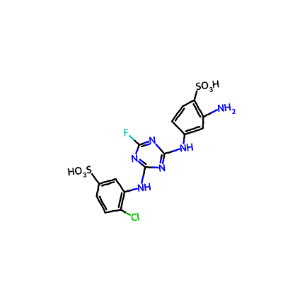 Nc1cc(Nc2nc(F)nc(Nc3cc(S(=O)(=O)O)ccc3Cl)n2)ccc1S(=O)(=O)O